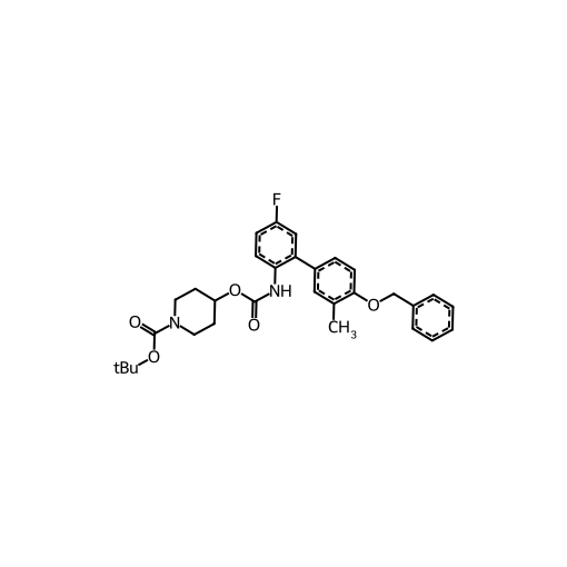 Cc1cc(-c2cc(F)ccc2NC(=O)OC2CCN(C(=O)OC(C)(C)C)CC2)ccc1OCc1ccccc1